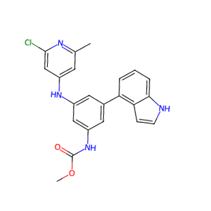 COC(=O)Nc1cc(Nc2cc(C)nc(Cl)c2)cc(-c2cccc3[nH]ccc23)c1